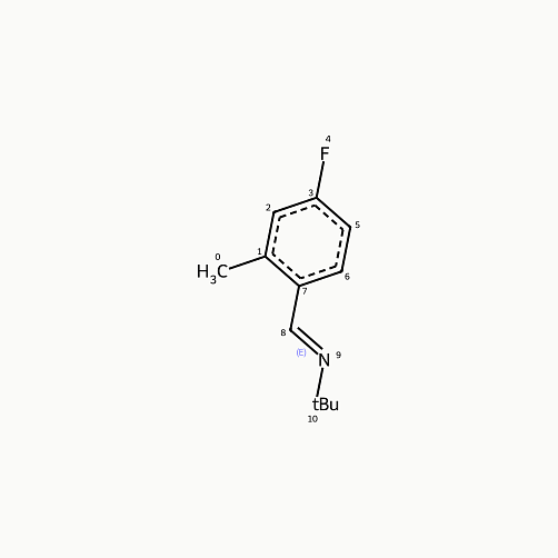 Cc1cc(F)ccc1/C=N/C(C)(C)C